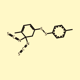 CC1=CC=C(SSc2ccc(C)cc2)CC1(N=C=S)N=C=S